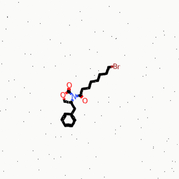 O=C(CCCCCCCBr)N1C(=O)OCC1Cc1ccccc1